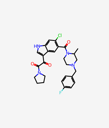 CC1CN(Cc2ccc(F)cc2)CCN1C(=O)c1cc2c(C(=O)C(=O)N3CCCC3)c[nH]c2cc1Cl